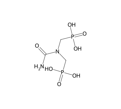 NC(=O)N(CP(=O)(O)O)CP(=O)(O)O